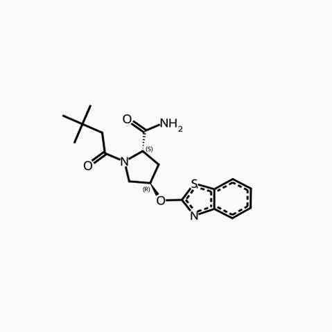 CC(C)(C)CC(=O)N1C[C@H](Oc2nc3ccccc3s2)C[C@H]1C(N)=O